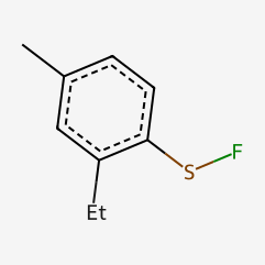 CCc1cc(C)ccc1SF